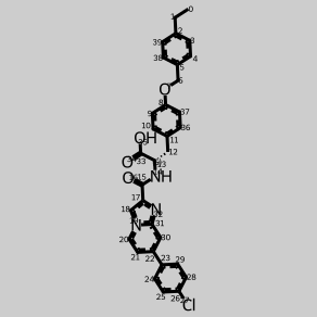 CCc1ccc(COc2ccc(C[C@H](NC(=O)c3cn4ccc(-c5ccc(Cl)cc5)cc4n3)C(=O)O)cc2)cc1